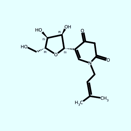 CC(C)=CCN1C=C([C@@H]2O[C@H](CO)[C@@H](O)[C@H]2O)C(=O)CC1=O